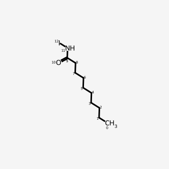 CCCCCCCCCC(=O)NI